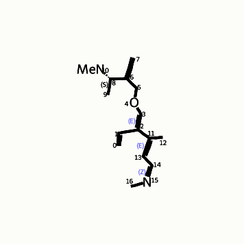 C=CC(=C\OCC(=C)[C@H](C)NC)/C(C)=C/C=N\C